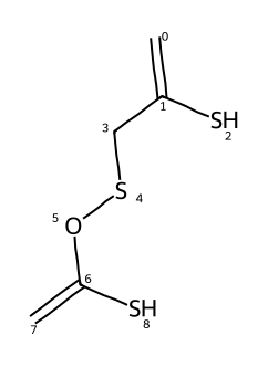 C=C(S)CSOC(=C)S